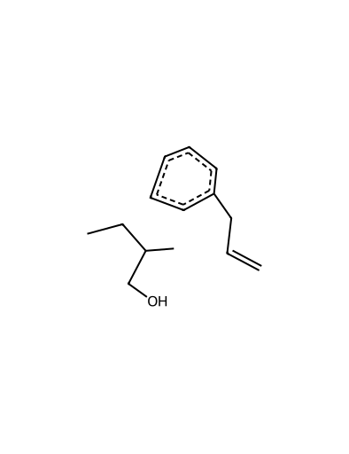 C=CCc1ccccc1.CCC(C)CO